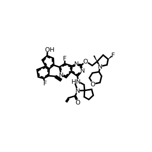 C#Cc1c(F)ccc2cc(O)cc(-c3ncc4c(NCC5(N(C)C(=O)C=C)CCCC5)nc(OC[C@]5(C)C[C@@H](F)CN5C5CCOCC5)nc4c3F)c12